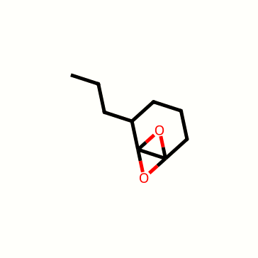 CCCC1CCCC23OC12O3